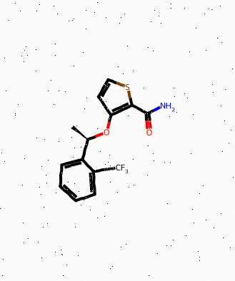 C[C@@H](Oc1ccsc1C(N)=O)c1ccccc1C(F)(F)F